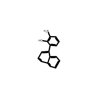 Nc1cccc(-c2cccc3ccccc23)c1O